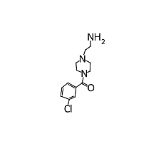 NCCN1CCN(C(=O)c2cccc(Cl)c2)CC1